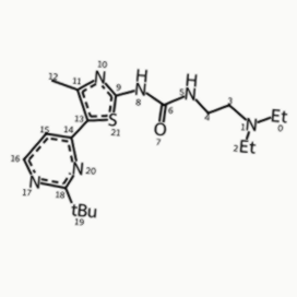 CCN(CC)CCNC(=O)Nc1nc(C)c(-c2ccnc(C(C)(C)C)n2)s1